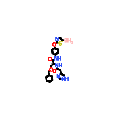 Bc1cnc(Oc2ccc(NC(=O)[C@H](COCc3ccccc3)NC(=O)Cc3c[nH]cn3)cc2)s1